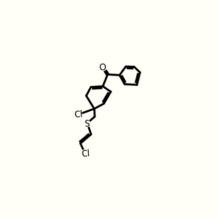 O=C(C1=CCC(Cl)(CSC=CCl)C=C1)c1ccccc1